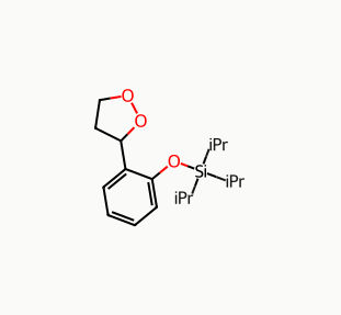 CC(C)[Si](Oc1ccccc1C1CCOO1)(C(C)C)C(C)C